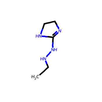 [CH2]CNNC1=NCCN1